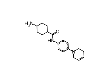 NC1CCC(C(=O)Nc2ccc(N3CC=CCC3)cc2)CC1